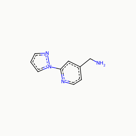 NCc1ccnc(-n2cccn2)c1